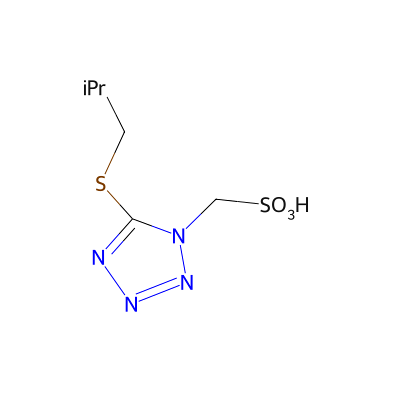 CC(C)CSc1nnnn1CS(=O)(=O)O